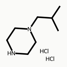 CC(C)CN1CCNCC1.Cl.Cl